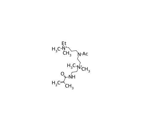 C=C(C)C(=O)NCC[N+](C)(C)CCN(CCC[N+](C)(C)CC)C(C)=O